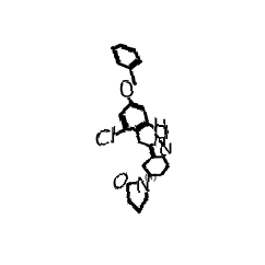 O=C1CCCN1[C@@H]1CCc2n[nH]c(Cc3c(Cl)cc(OCc4ccccc4)cc3Cl)c2C1